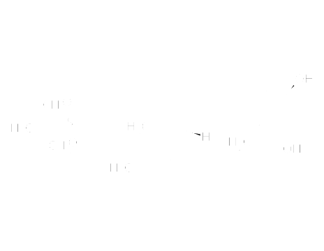 C=C1/C(=C\C=C2/CCC[C@]3(C)C([C@H](C)C/C=C/S(=O)(=O)C(C)(C)C)=CC[C@@H]23)C[C@@H](O)C[C@@H]1O